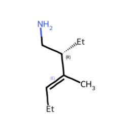 CC/C=C(\C)[C@@H](CC)CN